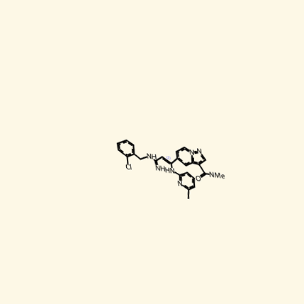 CNC(=O)c1cnn2ccc(/C(=C/C(=N)NCc3ccccc3Cl)Nc3cccc(C)n3)cc12